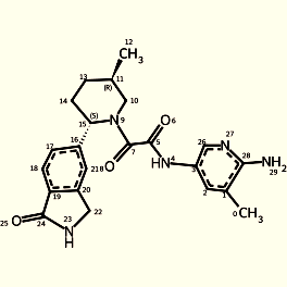 Cc1cc(NC(=O)C(=O)N2C[C@H](C)CC[C@H]2c2ccc3c(c2)CNC3=O)cnc1N